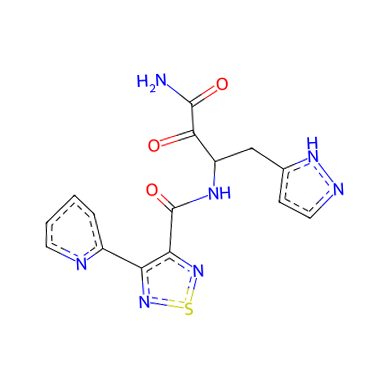 NC(=O)C(=O)C(Cc1ccn[nH]1)NC(=O)c1nsnc1-c1ccccn1